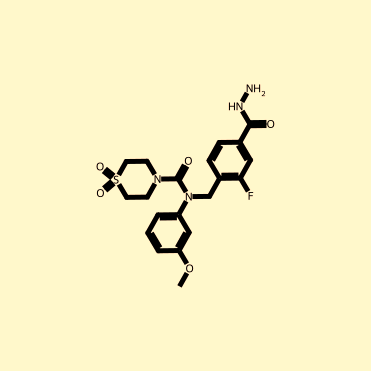 COc1cccc(N(Cc2ccc(C(=O)NN)cc2F)C(=O)N2CCS(=O)(=O)CC2)c1